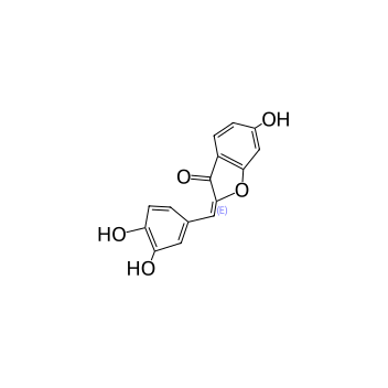 O=C1/C(=C\c2ccc(O)c(O)c2)Oc2cc(O)ccc21